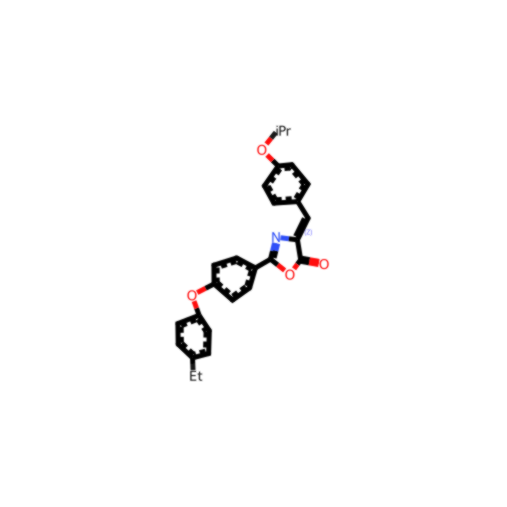 CCc1ccc(Oc2ccc(C3=N/C(=C\c4ccc(OC(C)C)cc4)C(=O)O3)cc2)cc1